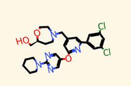 OC[C@@H]1CCN(Cc2cc(Oc3cnc(N4CCCCC4)nc3)nc(-c3cc(Cl)cc(Cl)c3)c2)CCO1